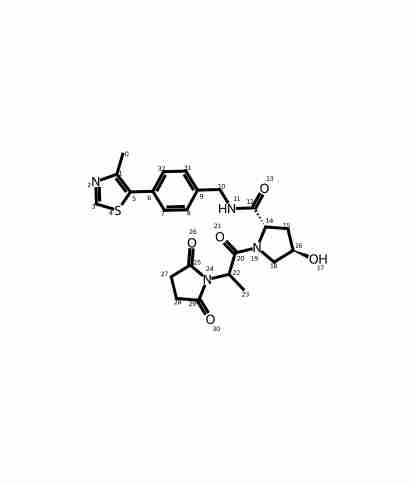 Cc1ncsc1-c1ccc(CNC(=O)[C@@H]2C[C@@H](O)CN2C(=O)C(C)N2C(=O)CCC2=O)cc1